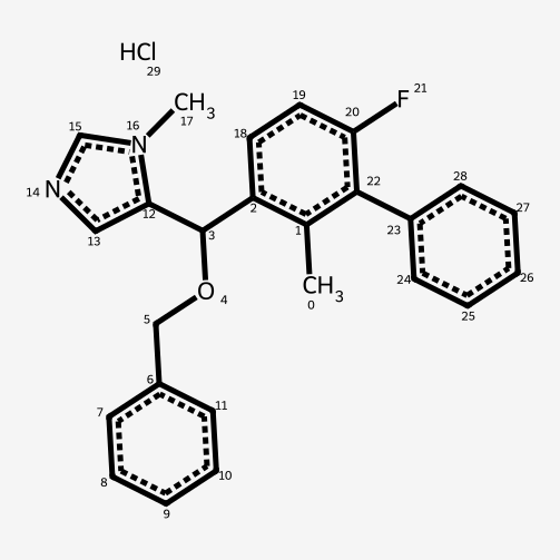 Cc1c(C(OCc2ccccc2)c2cncn2C)ccc(F)c1-c1ccccc1.Cl